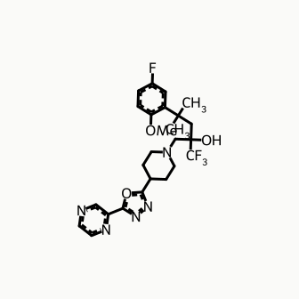 COc1ccc(F)cc1C(C)(C)CC(O)(CN1CCC(c2nnc(-c3cnccn3)o2)CC1)C(F)(F)F